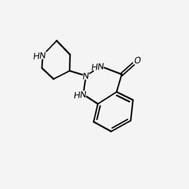 O=C1NN(C2CCNCC2)Nc2ccccc21